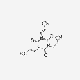 N#C/C=C\n1c(=O)n(/C=C/C#N)c(=O)n(/C=C/C#N)c1=O